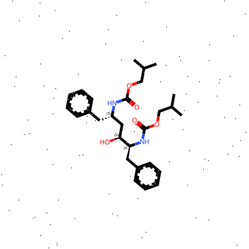 CC(C)COC(=O)N[C@@H](Cc1ccccc1)C[C@H](O)[C@H](Cc1ccccc1)NC(=O)OCC(C)C